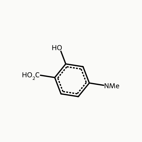 CNc1ccc(C(=O)O)c(O)c1